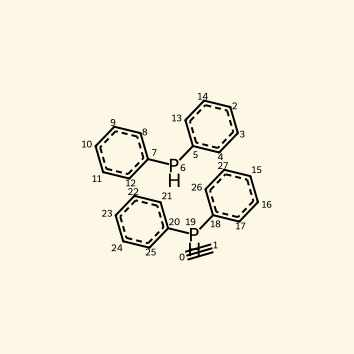 C#C.c1ccc(Pc2ccccc2)cc1.c1ccc(Pc2ccccc2)cc1